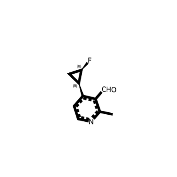 Cc1nccc([C@H]2C[C@H]2F)c1C=O